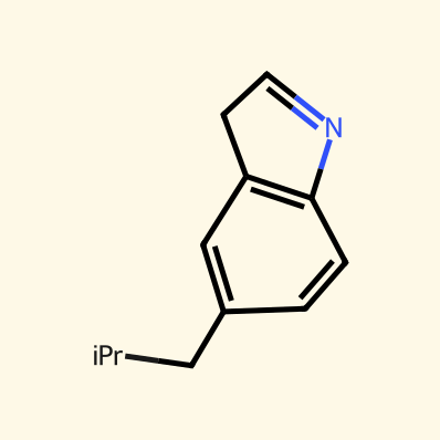 CC(C)Cc1ccc2c(c1)CC=N2